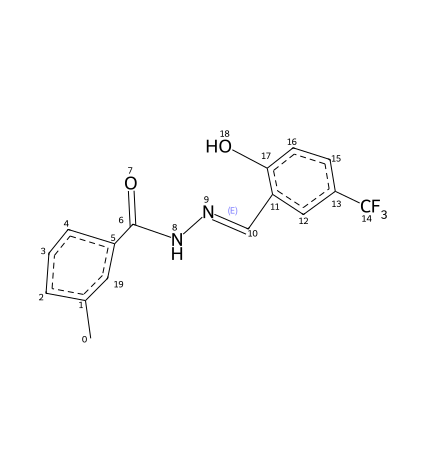 Cc1cccc(C(=O)N/N=C/c2cc(C(F)(F)F)ccc2O)c1